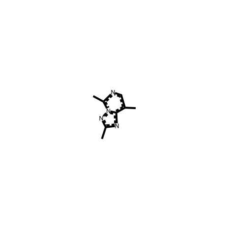 Cc1nc2c(C)cnc(C)n2n1